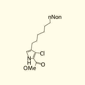 CCCCCCCCCCCCCCCc1c[nH]c(C(=O)OC)c1Cl